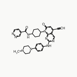 C#Cc1cc(=O)n(C2CCC(NC(=O)c3ccnnc3)CC2)c2nc(Nc3ccc(N4CCN(C)CC4)cc3)ncc12